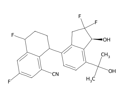 CC(C)(O)c1ccc(C2CCC(F)c3cc(F)cc(C#N)c32)c2c1[C@H](O)C(F)(F)C2